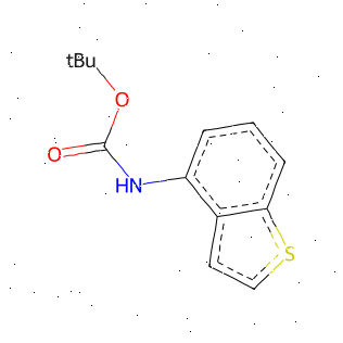 CC(C)(C)OC(=O)Nc1cccc2sccc12